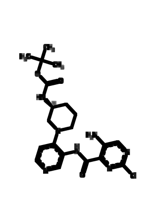 CC(C)(C)OC(=O)N[C@H]1CCCN(c2ccncc2NC(=O)c2nc(Cl)ncc2N)C1